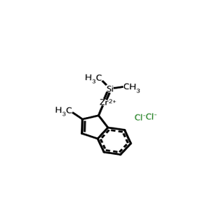 CC1=Cc2ccccc2[CH]1[Zr+2]=[Si](C)C.[Cl-].[Cl-]